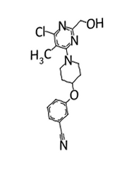 Cc1c(Cl)nc(CO)nc1N1CCC(Oc2cccc(C#N)c2)CC1